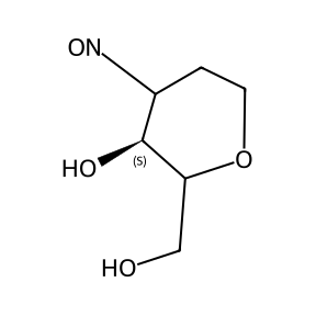 O=NC1CCOC(CO)[C@H]1O